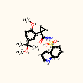 COc1ccc(C(C)(C)OC)cc1C1(C(=O)NS(=O)(=O)c2cccc3ncccc23)CC1